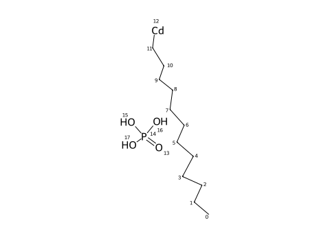 CCCCCCCCCCC[CH2][Cd].O=P(O)(O)O